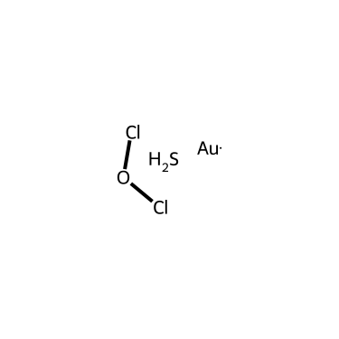 ClOCl.S.[Au]